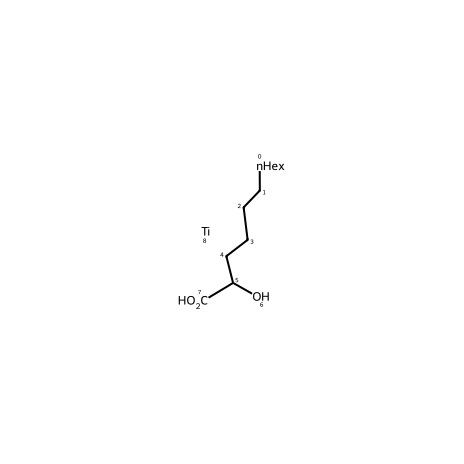 CCCCCCCCCCC(O)C(=O)O.[Ti]